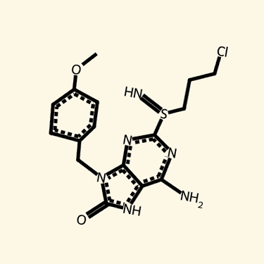 COc1ccc(Cn2c(=O)[nH]c3c(N)nc(S(=N)CCCCl)nc32)cc1